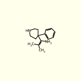 CC(C)=C(N)C1(c2ccccc2)CCNCC1